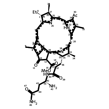 CC[C@H]1c2cc3[nH]c4c(c3C)C(=O)C(C(=O)OC)c4c3nc(cc4[nH]c(cc(n2)[C@@H]1C)c(C(C)=O)c4C)[C@@H](C)[C@@H]3CCC(=O)N[C@H](N)CCC(N)=O